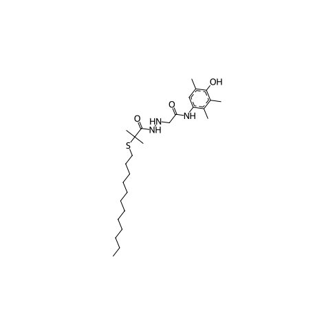 CCCCCCCCCCCCSC(C)(C)C(=O)NNCC(=O)Nc1cc(C)c(O)c(C)c1C